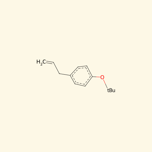 C=CCc1ccc(OC(C)(C)C)cc1